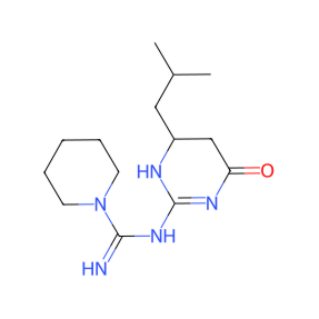 CC(C)CC1CC(=O)N=C(NC(=N)N2CCCCC2)N1